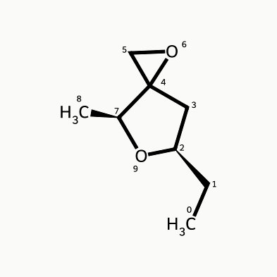 CC[C@@H]1CC2(CO2)[C@H](C)O1